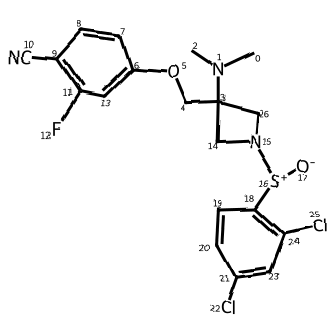 CN(C)C1(COc2ccc(C#N)c(F)c2)CN([S+]([O-])c2ccc(Cl)cc2Cl)C1